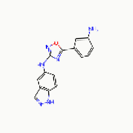 Nc1cccc(-c2nc(Nc3ccc4[nH]ncc4c3)no2)c1